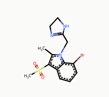 Cc1c(S(C)(=O)=O)c2cccc(Br)c2n1CC1=NCCN1